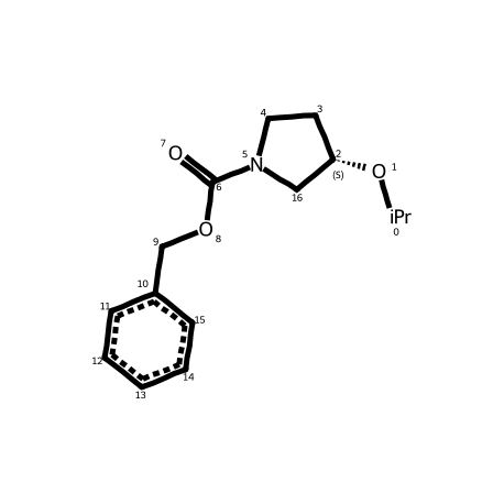 CC(C)O[C@H]1CCN(C(=O)OCc2ccccc2)C1